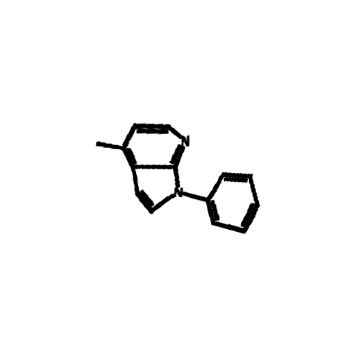 Cc1ccnc2c1ccn2-c1ccccc1